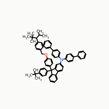 CC(C)C(c1ccc(COc2ccc(C3(c4ccc(C(C)(C)C)cc4)c4ccccc4-c4ccc(N(c5ccc(-c6ccccc6)cc5)c5ccc(-c6ccccc6)cc5)cc43)cc2)cc1)C(C)(C)C